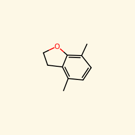 Cc1ccc(C)c2c1CCO2